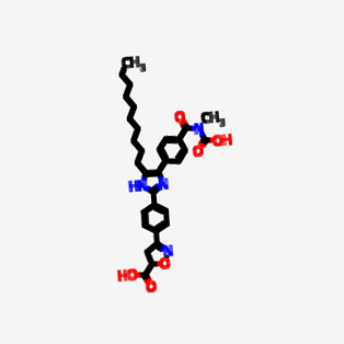 CCCCCCCCCCc1[nH]c(-c2ccc(C3=NOC(C(=O)O)C3)cc2)nc1-c1ccc(C(=O)N(C)C(=O)O)cc1